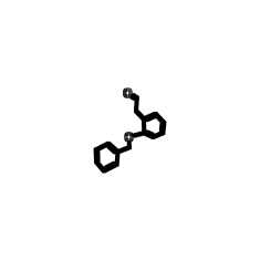 O=CCc1ccccc1OCc1ccccc1